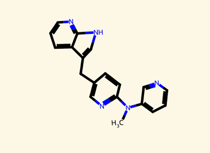 CN(c1cccnc1)c1ccc(Cc2c[nH]c3ncccc23)cn1